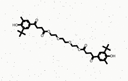 Cc1cc(C(=O)CCC(=O)OCCOCCOCCOC(=O)CCC(=O)c2cc(C)c(O)c(C(C)(C)C)c2)cc(C(C)(C)C)c1O